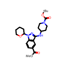 COC(=O)c1ccc2c(c1)c(NC1CCN(C(=O)OC(C)(C)C)CC1)nn2C1CCCCO1